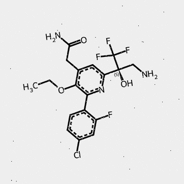 CCOc1c(CC(N)=O)cc([C@@](O)(CN)C(F)(F)F)nc1-c1ccc(Cl)cc1F